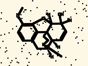 [2H]C1(O)C=C[C@@]2([2H])[C@@]3([2H])Cc4ccc(OC)c5c4[C@@]2(CCN3C)C1([2H])O5